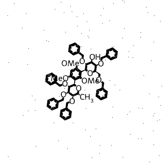 COc1cc(OC)c([C@@H]2O[C@H](COCc3ccccc3)[C@H](OCc3ccccc3)[C@H](O)[C@H]2OCc2ccccc2)c(OC)c1[C@H]1O[C@@H](C)[C@@H](OCc2ccccc2)[C@@H](OCc2ccccc2)[C@@H]1OCc1ccccc1